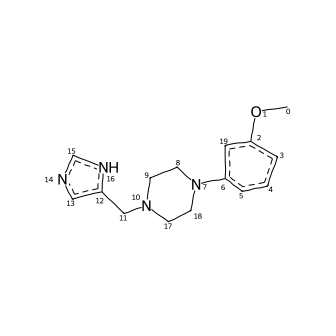 COc1cccc(N2CCN(Cc3cnc[nH]3)CC2)c1